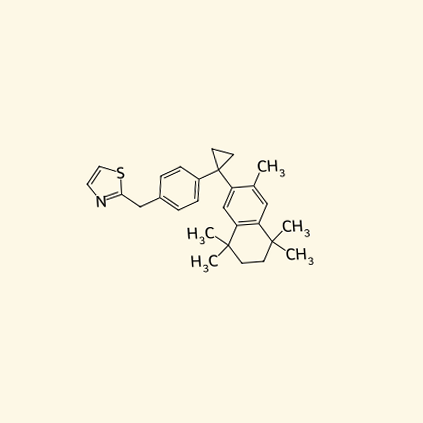 Cc1cc2c(cc1C1(c3ccc(Cc4nccs4)cc3)CC1)C(C)(C)CCC2(C)C